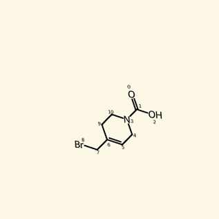 O=C(O)N1CC=C(CBr)CC1